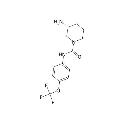 N[C@@H]1CCCN(C(=O)Nc2ccc(OC(F)(F)F)cc2)C1